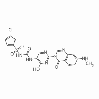 CNc1ccc2c(=O)n(-c3ncc(NC(=O)NS(=O)(=O)c4ccc(Cl)s4)c(O)n3)cnc2c1